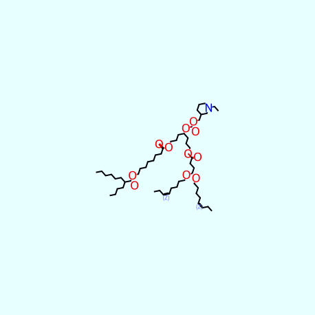 CC/C=C\CCCCOC(CCC(=O)OCCCC(CCCOC(=O)CCCCCCCOC(=O)C(CCCC)CCCCCC)OC(=O)OCC1CCCN(CC)C1)OCCCC/C=C\CC